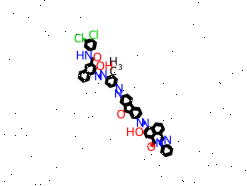 Cc1cc(N=Nc2ccc3c(c2)C(=O)c2cc(N=Nc4c(O)cc5c(=O)n6c7ccccc7nc6c6cccc4c56)ccc2-3)ccc1N=Nc1c(O)c(C(=O)Nc2ccc(Cl)c(Cl)c2)cc2ccccc12